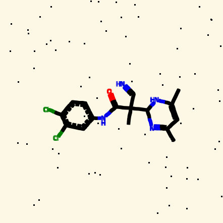 CC1=CC(C)=NC(C(C)(C=N)C(=O)Nc2ccc(Cl)c(Cl)c2)N1